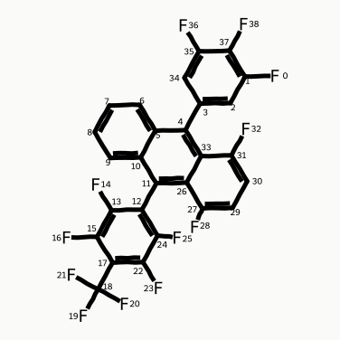 Fc1cc(-c2c3ccccc3c(-c3c(F)c(F)c(C(F)(F)F)c(F)c3F)c3c(F)ccc(F)c23)cc(F)c1F